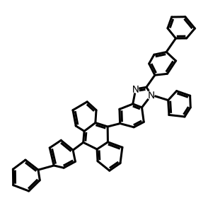 c1ccc(-c2ccc(-c3c4ccccc4c(-c4ccc5c(c4)nc(-c4ccc(-c6ccccc6)cc4)n5-c4ccccc4)c4ccccc34)cc2)cc1